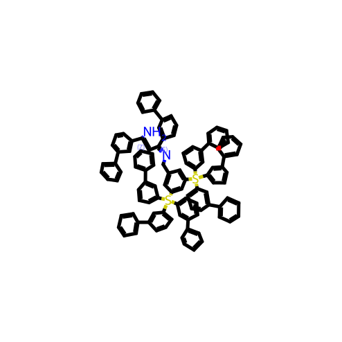 N/C(=C\C(=N/Cc1cc(S(c2cccc(-c3ccccc3)c2)(c2cccc(-c3ccccc3)c2)c2cccc(-c3ccccc3)c2)cc(S(c2cccc(-c3ccccc3)c2)(c2cccc(-c3ccccc3)c2)c2cccc(-c3ccccc3)c2)c1)c1cccc(-c2ccccc2)c1)c1cccc(-c2ccccc2)c1